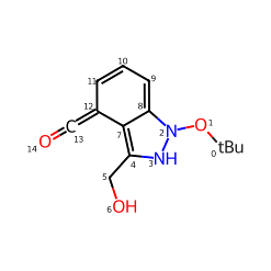 CC(C)(C)ON1NC(CO)=c2c1cccc2=C=O